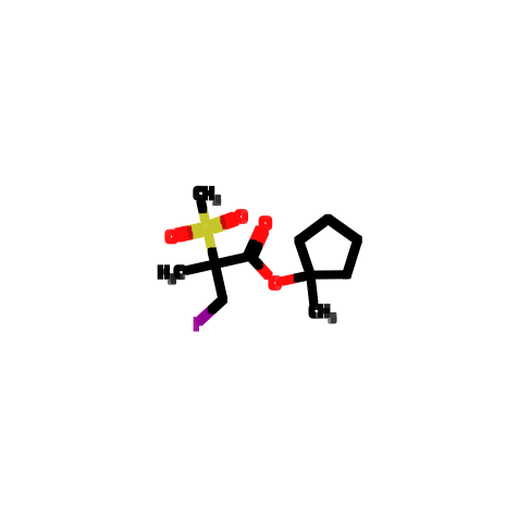 CC1(OC(=O)C(C)(CI)S(C)(=O)=O)CCCC1